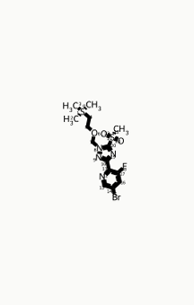 CS(C)(C)CCOCn1nc(-c2ncc(Br)cc2F)nc1S(C)(=O)=O